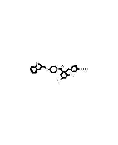 O=C(O)c1ccc(Cc2c(C(=O)N3CCC(OCc4cnc5ccccc5c4)CC3)cc(C(F)(F)F)cc2C(F)(F)F)cc1